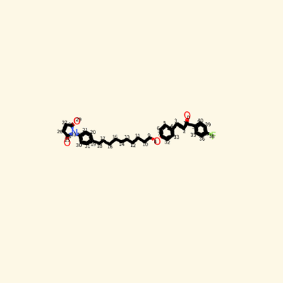 O=C(C=Cc1ccc(OCCCCCCCCCCc2ccc(N3C(=O)C=CC3=O)cc2)cc1)c1ccc(F)cc1